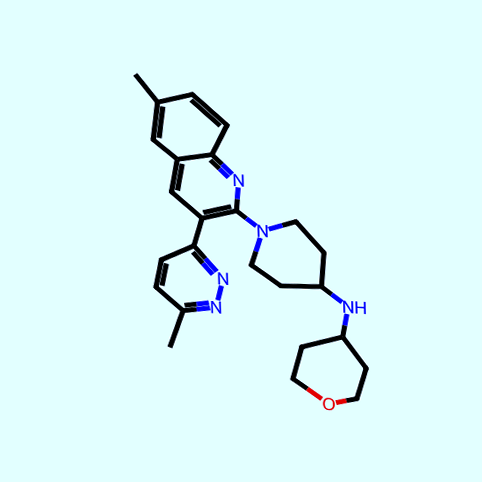 Cc1ccc2nc(N3CCC(NC4CCOCC4)CC3)c(-c3ccc(C)nn3)cc2c1